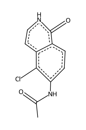 CC(=O)Nc1ccc2c(=O)[nH]ccc2c1Cl